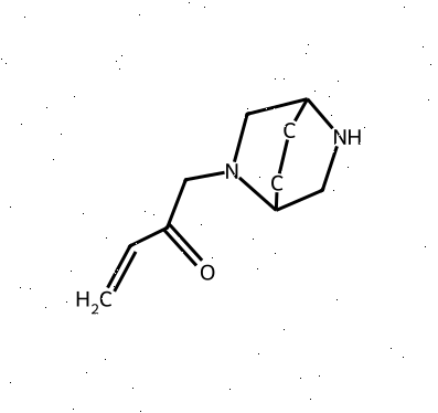 C=CC(=O)CN1CC2CCC1CN2